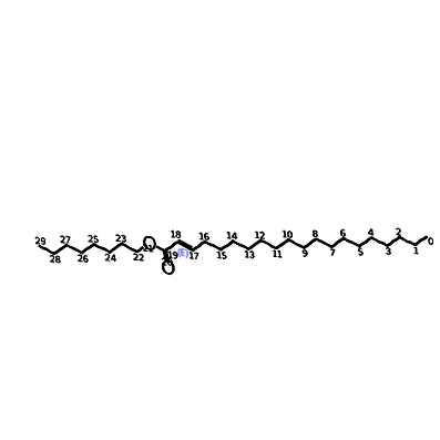 CCCCCCCCCCCCCCCCC/C=C/C(=O)OCCCCCCCC